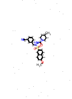 COc1ccc2cc(S(=O)(=O)N(Cc3cccc(C#N)c3)NC(=O)N3CCC(C)CC3)ccc2c1